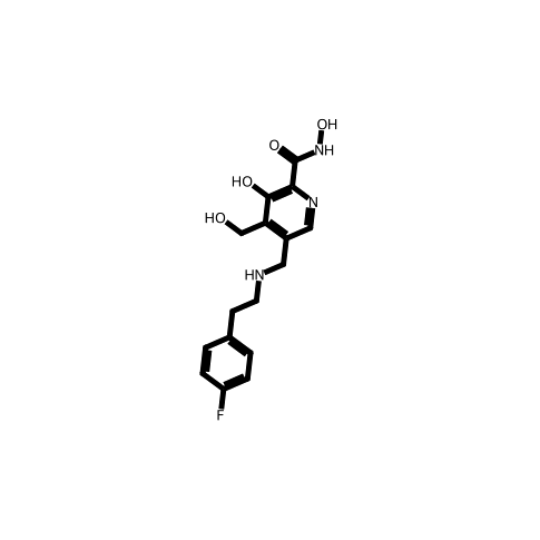 O=C(NO)c1ncc(CNCCc2ccc(F)cc2)c(CO)c1O